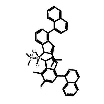 CC1=Cc2c(-c3cccc4ccccc34)cc(C)c(C)c2[CH]1[Zr]([Cl])([Cl])([CH]1C(C(C)C)=Cc2c(-c3cccc4ccccc34)cccc21)[SiH](C)C